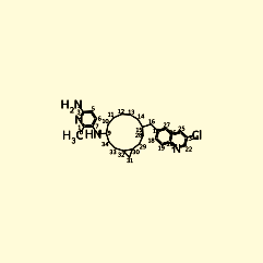 Cc1nc(N)ccc1NC1CCCCCC(Cc2ccc3ncc(Cl)cc3c2)CCC2CC2CC1